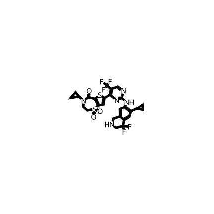 O=C1c2sc(-c3nc(Nc4cc5c(cc4C4CC4)C(F)(F)CNC5)ncc3C(F)(F)F)cc2S(=O)(=O)CCN1C1CC1